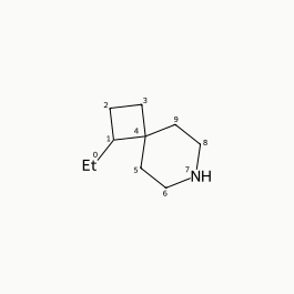 CCC1CCC12CCNCC2